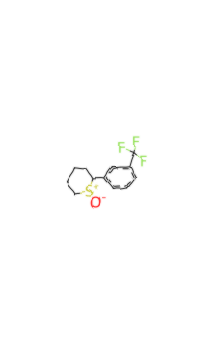 [O-][S+]1CCCCC1c1cccc(C(F)(F)F)c1